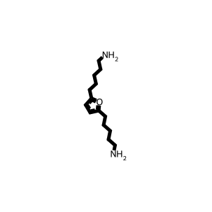 NCCCCCc1ccc(CCCCCN)o1